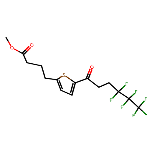 COC(=O)CCCc1ccc(C(=O)CCC(F)(F)C(F)(F)C(F)(F)F)s1